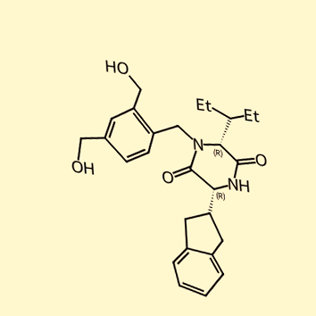 CCC(CC)[C@@H]1C(=O)N[C@H](C2Cc3ccccc3C2)C(=O)N1Cc1ccc(CO)cc1CO